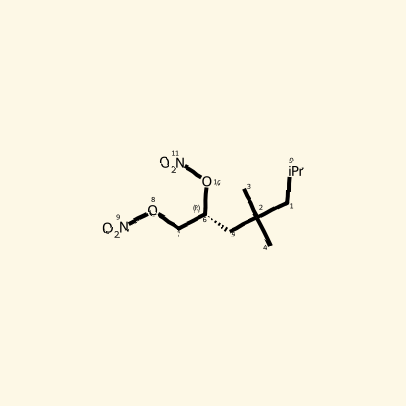 CC(C)CC(C)(C)C[C@H](CO[N+](=O)[O-])O[N+](=O)[O-]